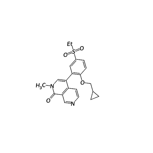 CCS(=O)(=O)c1ccc(OCC2CC2)c(-c2cn(C)c(=O)c3cnccc23)c1